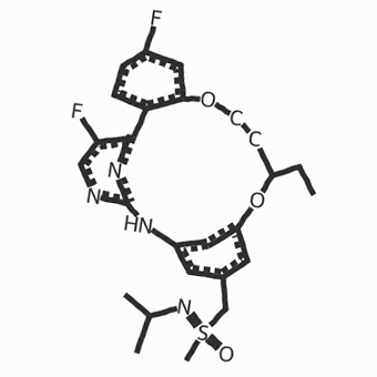 CCC1CCOc2cc(F)ccc2-c2nc(ncc2F)Nc2cc(CS(C)(=O)=NC(C)C)cc(c2)O1